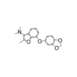 Cc1oc2c(Oc3ccc4c(c3)OCO4)cccc2c1N(C)C